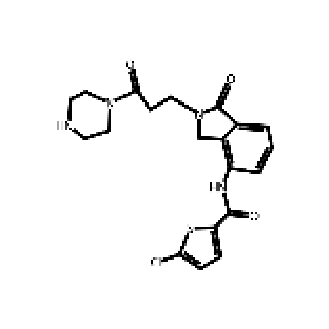 O=C(Nc1cccc2c1CN(CCC(=O)N1CCNCC1)C2=O)c1ccc(Cl)s1